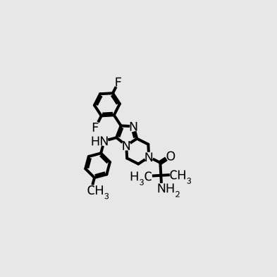 Cc1ccc(Nc2c(-c3cc(F)ccc3F)nc3n2CCN(C(=O)C(C)(C)N)C3)cc1